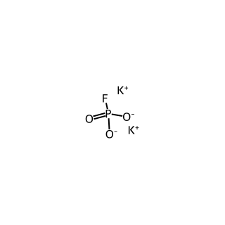 O=P([O-])([O-])F.[K+].[K+]